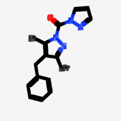 CCCc1nn(C(=O)n2cccn2)c(CC)c1Cc1ccccc1